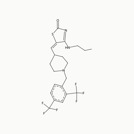 CCCNC1=NC(=O)SC1=CC1CCN(Cc2ccc(C(F)(F)F)cc2C(F)(F)F)CC1